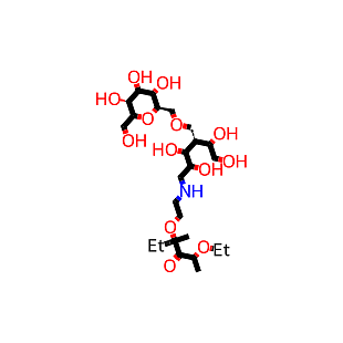 CCOC(C)C(=O)C(C)(CC)OCCNCC(O)C(O)[C@H](COC[C@H]1OC(CO)[C@H](O)C(O)C1O)C(O)CO